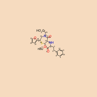 CCCCOC(=O)C(CCc1ccccc1)NC1CSC(c2ccco2)CN(CC(=O)O)C1=O